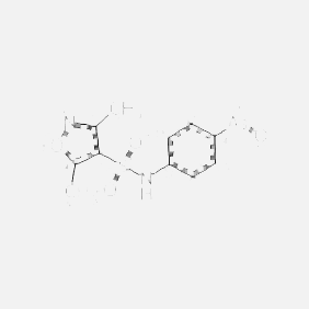 Cc1noc(C)c1S(=O)(=O)Nc1ccc([As]=O)cc1